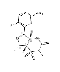 C=C1N[C@@H]2[C@@H]([C@H](C)O[C@H]2c2cc([N+](=O)[O-])ccc2F)S(=O)(=O)N1C